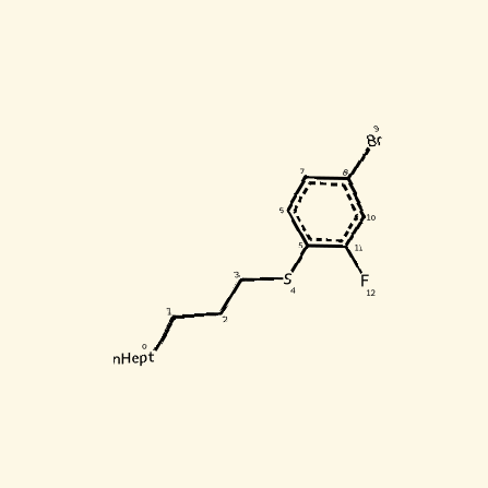 CCCCCCCCCCSc1ccc(Br)cc1F